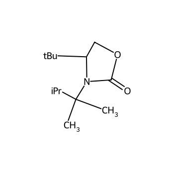 CC(C)C(C)(C)N1C(=O)OCC1C(C)(C)C